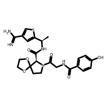 C[C@@H](NC(=O)[C@H]1N(C(=O)CNC(=O)c2ccc(O)cc2)CCC12OCCO2)c1cc(C(=N)N)cs1